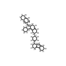 c1ccc2nc(-n3c4ccccc4c4c5cc(-c6ccc(-c7cccc8c7sc7ccccc78)cc6)ccc5ccc43)ncc2c1